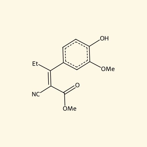 CCC(=C(C#N)C(=O)OC)c1ccc(O)c(OC)c1